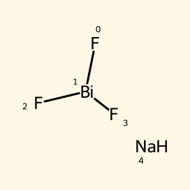 [F][Bi]([F])[F].[NaH]